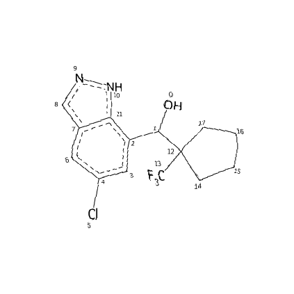 OC(c1cc(Cl)cc2cn[nH]c12)C1(C(F)(F)F)CCCC1